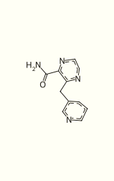 NC(=O)c1nccnc1Cc1cccnc1